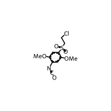 COc1cc(S(=O)(=O)CCCl)c(OC)cc1N=C=O